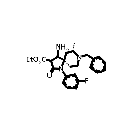 CCOC(=O)C1C(=O)N(c2cccc(F)c2)[C@@]2(CCN(Cc3ccccc3)[C@@H](C)C2)C1N